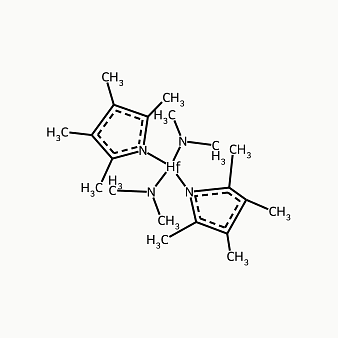 Cc1c(C)c(C)[n]([Hf]([N](C)C)([N](C)C)[n]2c(C)c(C)c(C)c2C)c1C